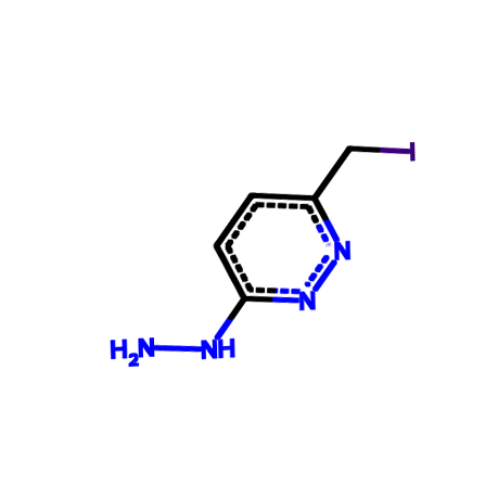 NNc1ccc(CI)nn1